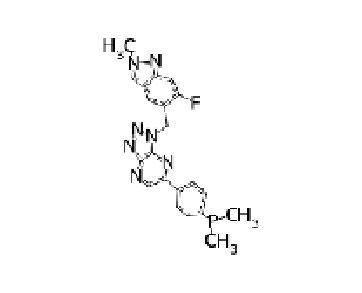 Cn1cc2cc(Cn3nnc4ncc(-c5ccc(P(C)C)cc5)nc43)c(F)cc2n1